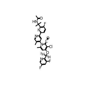 [2H]C([2H])(OC1=C(Cl)C(=C=O)N(c2cc(-c3ccc(F)c(C(C)(C)NC(C)=O)n3)ncc2C)C(C)=C1)c1ncc(F)cc1F